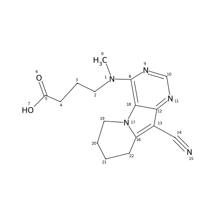 CN(CCCC(=O)O)c1ncnc2c(C#N)c3n(c12)CCCC3